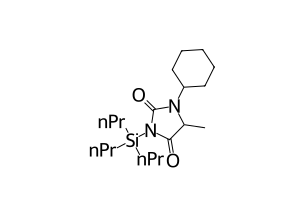 CCC[Si](CCC)(CCC)N1C(=O)C(C)N(C2CCCCC2)C1=O